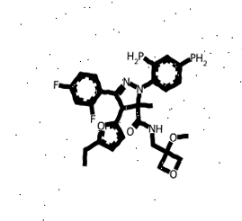 CCc1ccc(C2C(c3ccc(F)cc3F)=NN(c3ccc(P)cc3P)C2(C)C(=O)NCC2(OC)COC2)o1